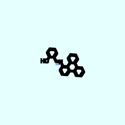 Oc1ccccc1/C=N/c1cccc2c3ccccc3c3ccccc3c12